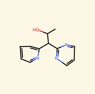 CC(O)C(c1ccccn1)c1ncccn1